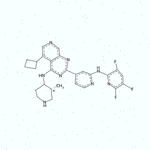 C[C@@H]1CNCCC1Nc1nc(-c2ccnc(Nc3nc(F)c(F)cc3F)c2)nc2cncc(C3CCC3)c12